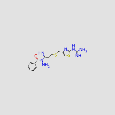 N=C(N)Nc1nc(CSCCC(=N)N(N)C(=O)c2ccccc2)cs1